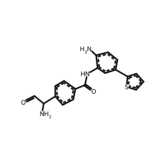 Nc1ccc(-c2cccs2)cc1NC(=O)c1ccc(C(N)C=O)cc1